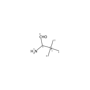 C[Si](C)(C)C(N)C=O